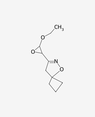 CCOC1OC1C1=NOC2(CCC2)C1